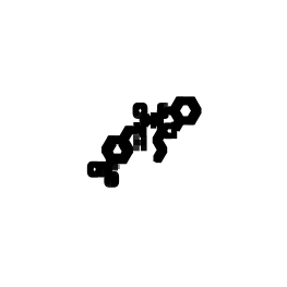 CCCCN(SC1CCCCC1Cl)C(=O)NCc1ccc([N+](=O)[O-])cc1